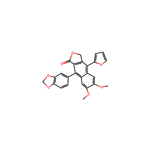 COc1cc2c(-c3ccco3)c3c(c(-c4ccc5c(c4)OCO5)c2cc1OC)C(=O)OC3